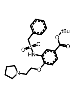 CC(C)(C)OC(=O)c1ccc(OCCN2CCCC2)c(NS(=O)(=O)Cc2ccccc2)c1